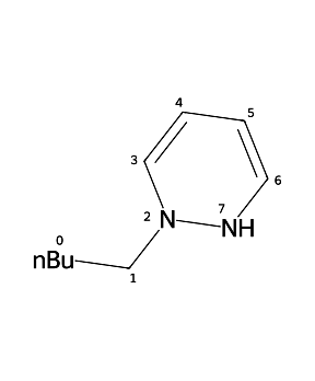 CCCCCN1C=CC=CN1